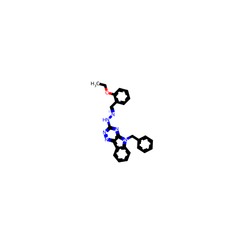 CCOc1ccccc1/C=N/Nc1nnc2c3ccccc3n(Cc3ccccc3)c2n1